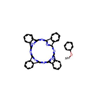 [Mn][O]c1ccccc1.c1ccc2c(c1)-c1nc-2nc2[nH]c(nc3nc(nc4[nH]c(n1)c1ccccc41)-c1ccccc1-3)c1ccccc21